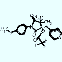 CSc1ccc(N2C(=O)C(C)(C)[N+](Cc3ccncc3)(OC(=O)C(F)(F)F)C2=O)cc1